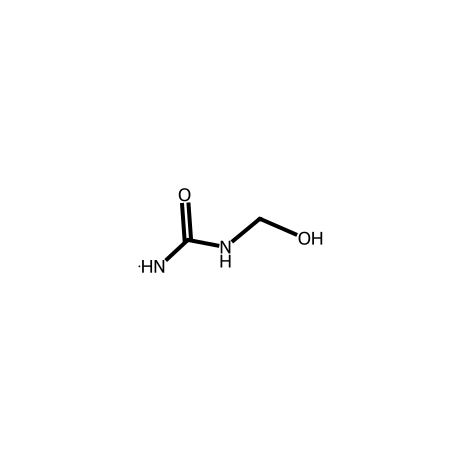 [NH]C(=O)NCO